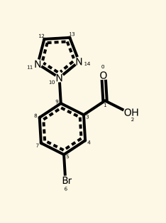 O=C(O)c1cc(Br)ccc1-n1nccn1